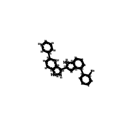 Fc1ccccc1-c1cccc2[nH]c(-c3n[nH]c4ccc(-c5cccnc5)nc34)cc12